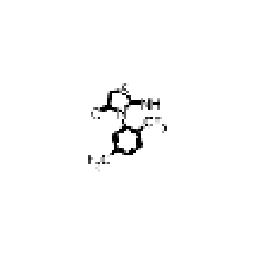 N=C1SCC(=O)N1c1cc(C(F)(F)F)ccc1C(F)(F)F